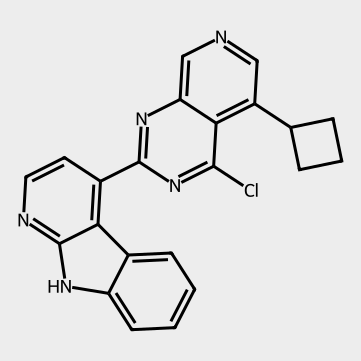 Clc1nc(-c2ccnc3[nH]c4ccccc4c23)nc2cncc(C3CCC3)c12